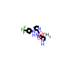 C[C@]1(c2nnc(-c3ncccc3Nc3ccc(C(F)(F)F)cc3)o2)CCNC1=O